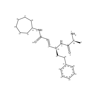 C[C@H](N)C(=O)N[C@H](C=CC(=O)NC1CCCCCC1)CCc1ccccc1